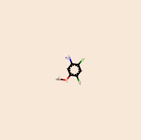 CCCCOc1cc(N)c(Cl)cc1Cl